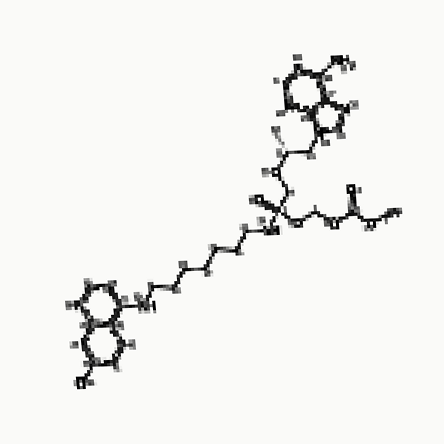 CC(C)OC(=O)OCOP(=O)(CO[C@H](C)Cn1cnc2c(N)ncnc21)NCCCCCCCNc1ccnc2cc(Cl)ccc12